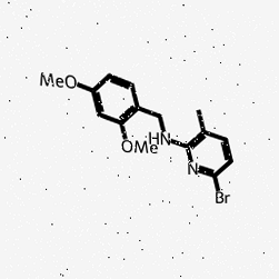 COc1ccc(CNc2nc(Br)ccc2C)c(OC)c1